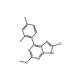 CSc1nc(-c2ccc(C)cc2C)c2nc(Cl)[nH]c2n1